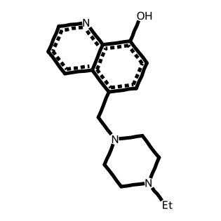 CCN1CCN(Cc2ccc(O)c3ncccc23)CC1